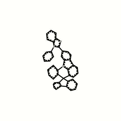 c1ccc(-n2c(-c3ccc4c5cccc6c5n(c4c3)-c3ccccc3C63c4ccccc4-c4ccccc43)nc3ccccc32)cc1